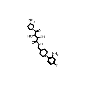 Nc1cc(F)ccc1N1CCC(CNC(=O)[C@H](O)[C@@H](O)C(=O)N2CC[C@H](N)C2)CC1